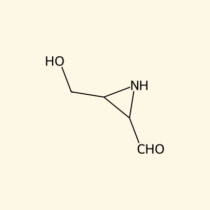 O=CC1NC1CO